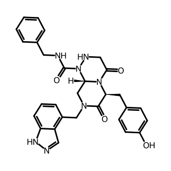 O=C1[C@H](Cc2ccc(O)cc2)N2C(=O)CNN(C(=O)NCc3ccccc3)[C@H]2CN1Cc1cccc2[nH]ncc12